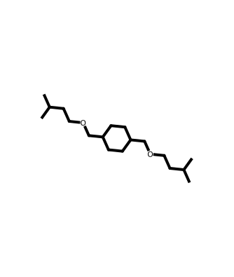 CC(C)CCOCC1CCC(COCCC(C)C)CC1